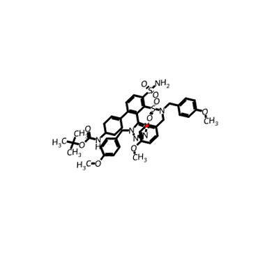 COc1ccc(CN(Cc2ccc(OC)cc2)S(=O)(=O)c2c(S(N)(=O)=O)ccc(C3=CCC(NC(=O)OC(C)(C)C)CC3)c2-c2nnnn2Cc2ccc(OC)cc2)cc1